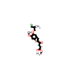 C=C(CBr)COc1cc2cc(C(=O)CCC(=O)OC)sc2cc1OC